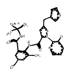 Cc1cc(Cl)cc(C(=O)NC(C)(C)C)c1NC(=O)c1cc(Cc2ccsc2)nn1-c1ncccc1Cl